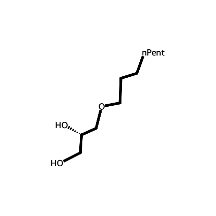 CCCCCCCCOC[C@@H](O)CO